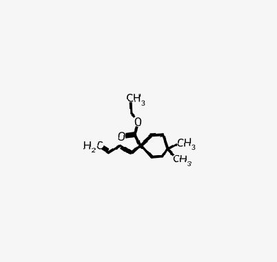 C=CC=CC1(C(=O)OCC)CCC(C)(C)CC1